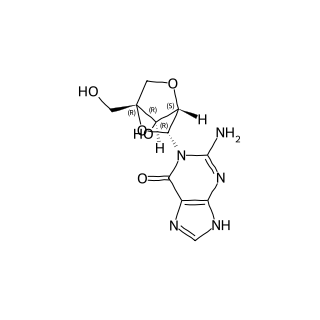 Nc1nc2[nH]cnc2c(=O)n1[C@@H]1O[C@]2(CO)CO[C@H]1[C@H]2O